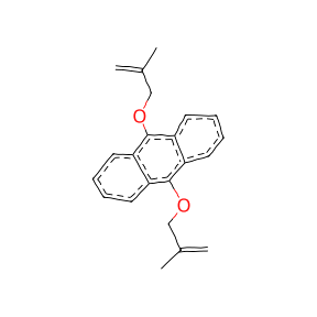 C=C(C)COc1c2ccccc2c(OCC(=C)C)c2ccccc12